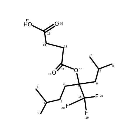 CC(C)CCC(CC(C)C)(OC(=O)CCC(=O)O)C(F)(F)F